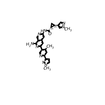 Cc1cc(-c2ccn(C)n2)ncc1-c1cc2cc(NC(=O)[C@@H]3C[C@H]3c3cnn(C)c3)ncc2c(N)n1